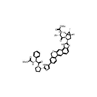 COC(=O)N[C@H](C(=O)N1[C@@H]2[C@H](C)[C@@H]2C[C@H]1c1nc2ccc3cc4c(cc3c2[nH]1)OCc1cc(-c2cnc([C@@H]3CCCN3C(=O)[C@H](NC(=O)OC)c3ccccc3)[nH]2)ccc1-4)C(C)C